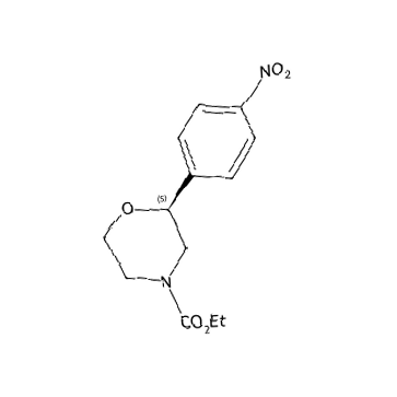 CCOC(=O)N1CCO[C@@H](c2ccc([N+](=O)[O-])cc2)C1